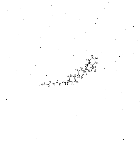 CCCCCCCCOc1ccc(-c2ccc(C(=O)OC(C)c3ccccc3)cc2)cc1